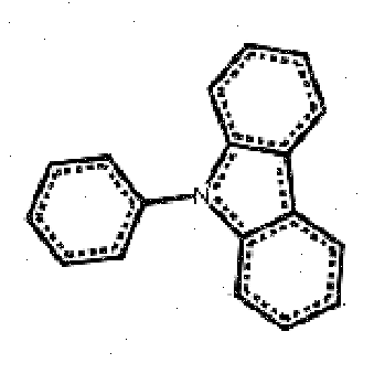 [c]1c[c]c2c(c1)c1ccccc1n2-c1ccccc1